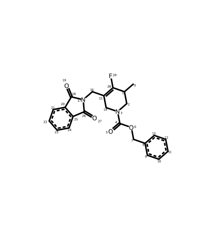 CC1CN(C(=O)OCc2ccccc2)CC(CN2C(=O)c3ccccc3C2=O)=C1F